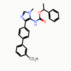 CC(OC(=O)Nc1c(-c2ccc(-c3cccc(C(=O)O)c3)cc2)ncn1C)c1ccccc1